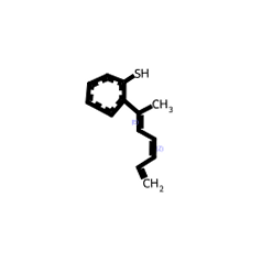 C=C/C=C\C=C(/C)c1ccccc1S